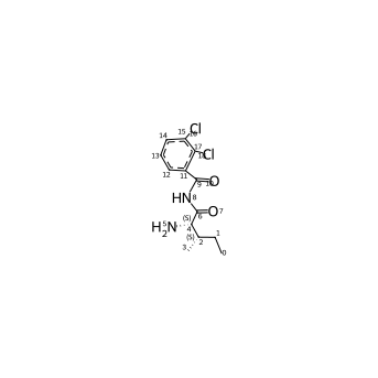 CC[C@H](C)[C@H](N)C(=O)NC(=O)c1cccc(Cl)c1Cl